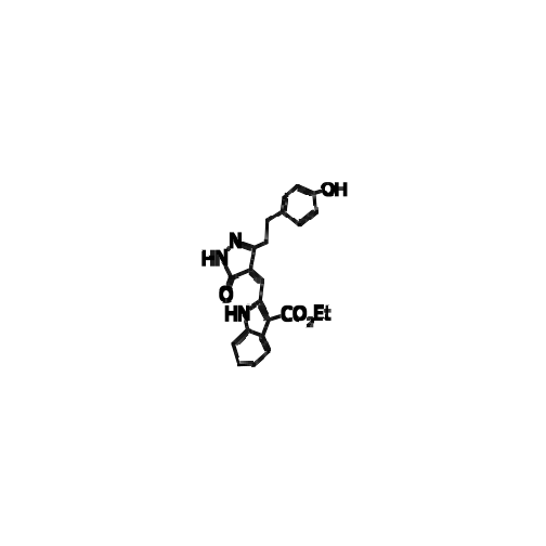 CCOC(=O)c1c(C=C2C(=O)NN=C2CCc2ccc(O)cc2)[nH]c2ccccc12